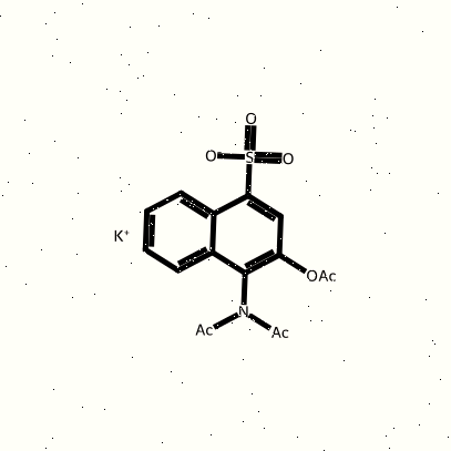 CC(=O)Oc1cc(S(=O)(=O)[O-])c2ccccc2c1N(C(C)=O)C(C)=O.[K+]